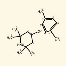 CC1(C)CC([O])CC(C)(C)N1.Cc1ccc(C)cc1